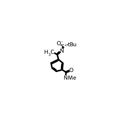 CNC(=O)c1cccc(/C(C)=N/[S@@+]([O-])C(C)(C)C)c1